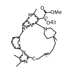 CCO[C@H](C(=O)OC)c1c(C)nc2cc3nn2c1N1CCC(C)(CC/C=C/CCc2nc(C)c(C)n2-c2cccc-3c2)CC1